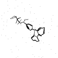 CC(C)(O)C(C)(C)OB(O)c1ccc(-n2c3ccccc3c3ccccc32)cc1